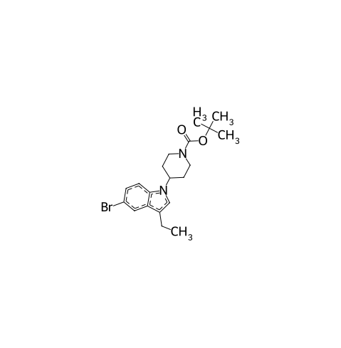 CCc1cn(C2CCN(C(=O)OC(C)(C)C)CC2)c2ccc(Br)cc12